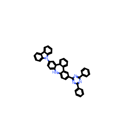 c1ccc(-c2nc(-c3ccccc3)nc(-c3ccc4c(c3)-c3ccccc3-c3cc(-n5c6ccccc6c6ccccc65)ccc3N4)n2)cc1